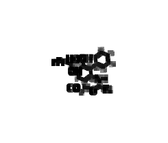 CCC(=O)Nc1c(C(=O)O)ccc(O)c1-c1ccccc1.CCCC(O)O